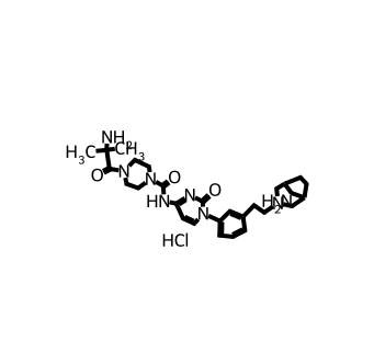 CC(C)(N)C(=O)N1CCN(C(=O)Nc2ccn(-c3cccc(CCN4CC5CCC(C4)C5N)c3)c(=O)n2)CC1.Cl